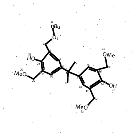 CCCCOCc1cc(C(C)(C)c2cc(COC)c(O)c(COC)c2)cc(COC)c1O